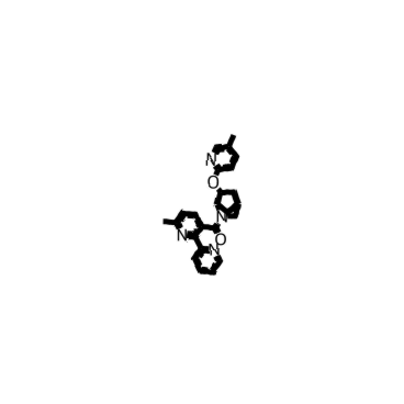 Cc1ccc(OC2CC3CC2N(C(=O)c2ccc(C)nc2-c2ccccn2)C3)nc1